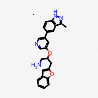 Cc1n[nH]c2ccc(-c3cncc(OC(CN)Cc4cc5ccccc5o4)c3)cc12